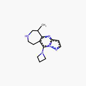 CC1CNCCc2c1nc1ccnn1c2N1CCC1